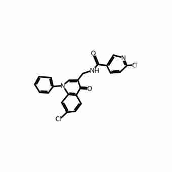 O=C(NCc1cn(-c2ccccc2)c2cc(Cl)ccc2c1=O)c1ccc(Cl)nc1